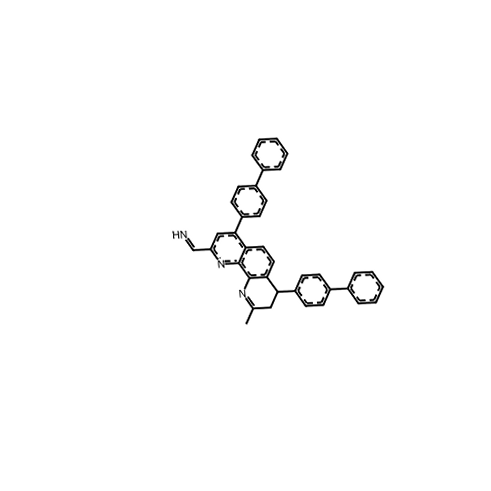 CC1=Nc2c(ccc3c(-c4ccc(-c5ccccc5)cc4)cc(C=N)nc23)C(c2ccc(-c3ccccc3)cc2)C1